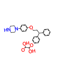 O=C(O)C(=O)O.c1ccc(C(CCOc2ccc(N3CCNCC3)cc2)c2ccccc2)cc1